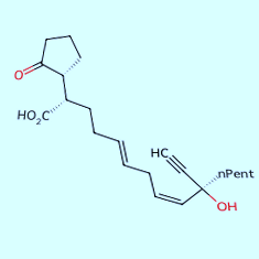 C#C[C@@](O)(/C=C\C/C=C/CC[C@H](C(=O)O)[C@H]1CCCC1=O)CCCCC